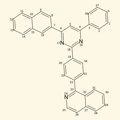 c1ccc(-c2cc(-c3ccc4ccccc4c3)nc(-c3ccc(-c4nccc5ccccc45)cc3)n2)cc1